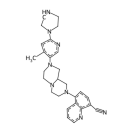 Cc1cc(N2CCNCC2)ncc1N1CCN2CCN(c3ccc(C#N)c4ncccc34)CC2C1